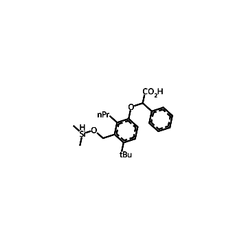 CCCc1c(OC(C(=O)O)c2ccccc2)ccc(C(C)(C)C)c1CO[SiH](C)C